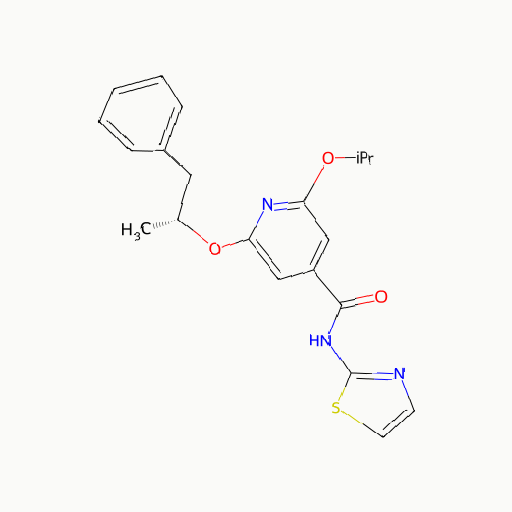 CC(C)Oc1cc(C(=O)Nc2nccs2)cc(O[C@H](C)Cc2ccccc2)n1